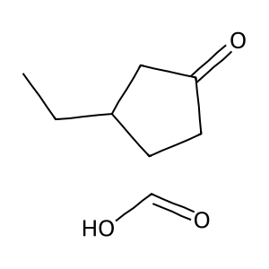 CCC1CCC(=O)C1.O=CO